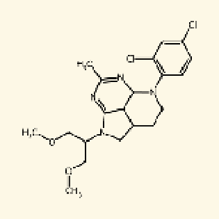 COCC(COC)N1CC2CCN(c3ccc(Cl)cc3Cl)C3N=C(C)N=C1C23